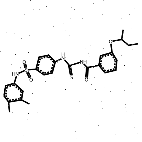 CCC(C)Oc1cccc(C(=O)NC(=S)Nc2ccc(S(=O)(=O)Nc3ccc(C)c(C)c3)cc2)c1